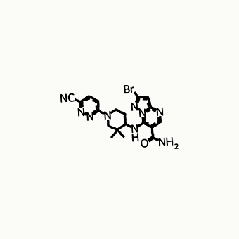 CC1(C)CN(c2ccc(C#N)nn2)CCC1Nc1c(C(N)=O)cnc2cc(Br)nn12